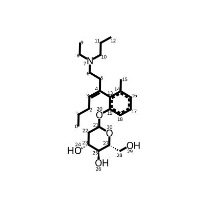 CCC/C=C(/CCN(CC)CCC)c1c(C)cccc1OC1C[C@@H](O)[C@H](O)[C@@H](CO)O1